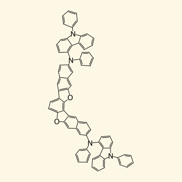 c1ccc(N(c2ccc3cc4c(cc3c2)oc2c4ccc3oc4cc5cc(N(c6ccccc6)c6cccc7c6c6ccccc6n7-c6ccccc6)ccc5cc4c32)c2cccc3c2c2ccccc2n3-c2ccccc2)cc1